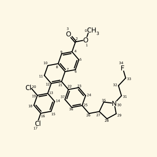 COC(=O)c1ccc2c(c1)CCC(c1ccc(Cl)cc1Cl)=C2c1ccc(CC2CCN(CCCF)C2)cc1